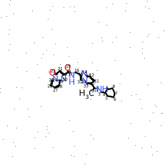 CC(NCC1CCCCC1)c1ccc2nc(CNC(=O)c3cc(=O)n4ccccc4n3)cn2c1